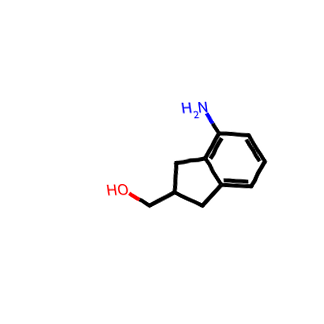 Nc1cccc2c1CC(CO)C2